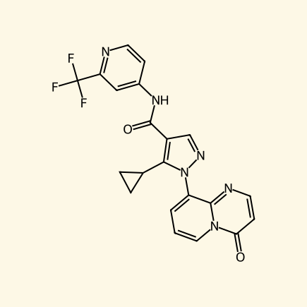 O=C(Nc1ccnc(C(F)(F)F)c1)c1cnn(-c2cccn3c(=O)ccnc23)c1C1CC1